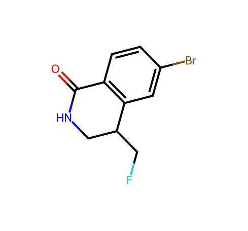 O=C1NCC(CF)c2cc(Br)ccc21